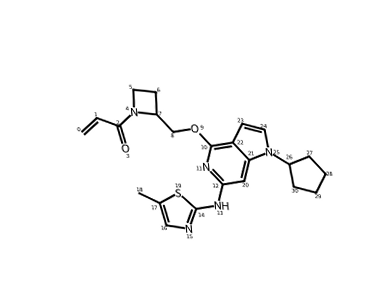 C=CC(=O)N1CCC1COc1nc(Nc2ncc(C)s2)cc2c1ccn2C1CCCC1